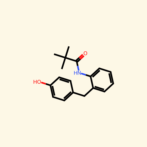 CC(C)(C)C(=O)Nc1ccccc1Cc1ccc(O)cc1